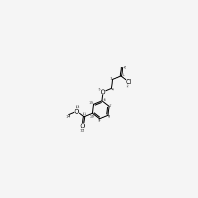 C=C(Cl)CCOc1cccc(C(=O)OC)c1